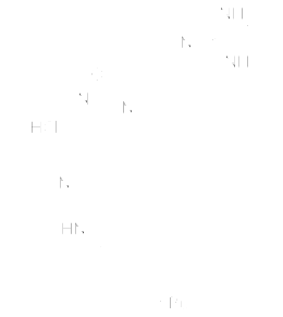 CCCCc1ccc(Nc2ccc(-c3noc(C4CCN(C(=N)N)C4)n3)cn2)cc1.Cl